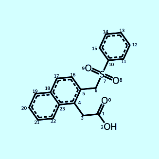 O=C(O)Cc1c(CS(=O)(=O)c2ccccc2)ccc2ccccc12